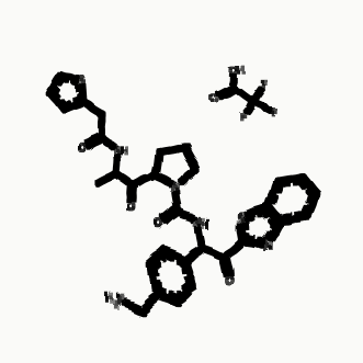 CC(NC(=O)Cc1cccs1)C(=O)C1CCCN1C(=O)NC(C(=O)c1nc2ccccc2s1)c1ccc(CN)cc1.O=C(O)C(F)(F)F